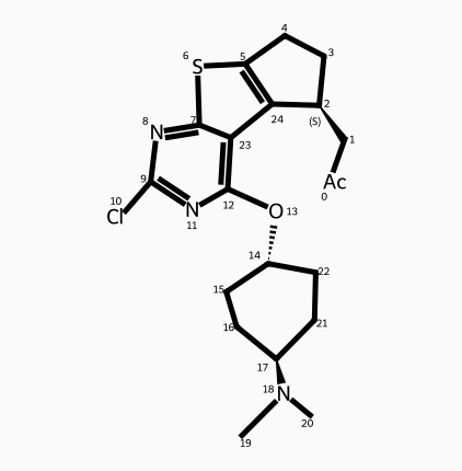 CC(=O)C[C@@H]1CCc2sc3nc(Cl)nc(O[C@H]4CC[C@H](N(C)C)CC4)c3c21